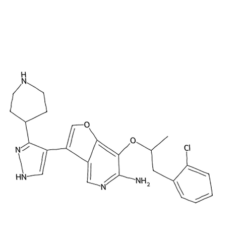 CC(Cc1ccccc1Cl)Oc1c(N)ncc2c(-c3c[nH]nc3C3CCNCC3)coc12